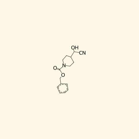 N#CC(O)C1CCN(C(=O)OCc2ccccc2)CC1